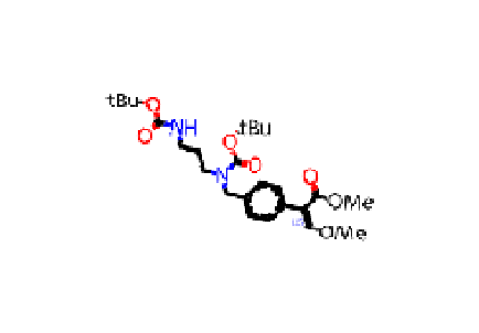 CO/C=C(\C(=O)OC)c1ccc(CN(CCCNC(=O)OC(C)(C)C)C(=O)OC(C)(C)C)cc1